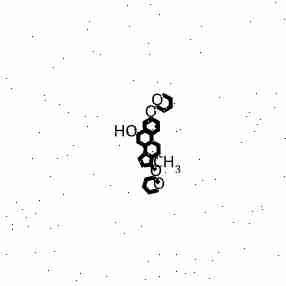 CC12CCC3c4ccc(OC5CCCCO5)cc4C(O)CC3C1CCC2OC1CCCCO1